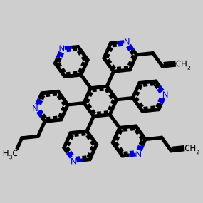 C=CCc1cc(-c2c(-c3ccncc3)c(-c3ccnc(CC=C)c3)c(-c3ccncc3)c(-c3ccnc(CCC)c3)c2-c2ccncc2)ccn1